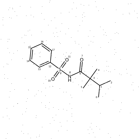 CC(C)C(C)(C)C(=O)NS(=O)(=O)c1ccccc1